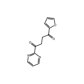 O=C(CCC(=O)c1ccco1)c1ncccn1